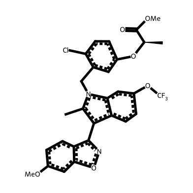 COC(=O)[C@@H](C)Oc1ccc(Cl)c(Cn2c(C)c(-c3noc4cc(OC)ccc34)c3ccc(OC(F)(F)F)cc32)c1